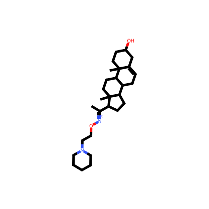 C/C(=N\OCCN1CCCCC1)C1CCC2C3CC=C4CC(O)CCC4(C)C3CCC12C